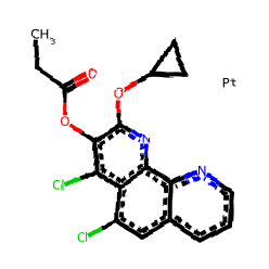 CCC(=O)Oc1c(OC2CC2)nc2c(c(Cl)cc3cccnc32)c1Cl.[Pt]